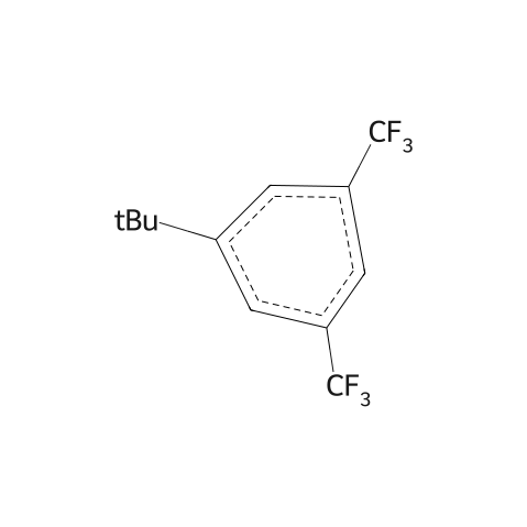 [CH2]C(C)(C)c1cc(C(F)(F)F)cc(C(F)(F)F)c1